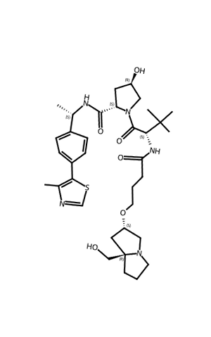 Cc1ncsc1-c1ccc([C@H](C)NC(=O)[C@@H]2C[C@@H](O)CN2C(=O)[C@@H](NC(=O)CCCO[C@@H]2CN3CCC[C@]3(CO)C2)C(C)(C)C)cc1